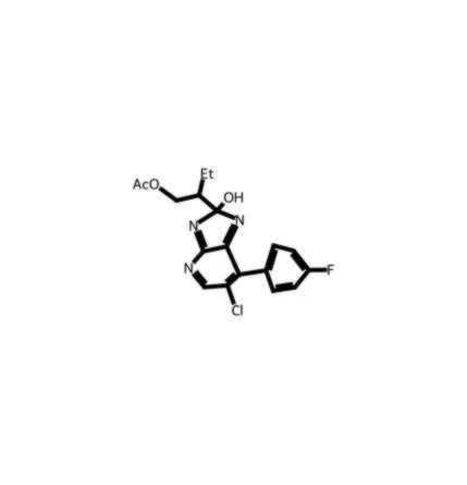 CCC(COC(C)=O)C1(O)N=c2ncc(Cl)c(-c3ccc(F)cc3)c2=N1